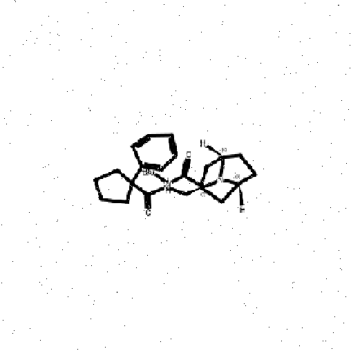 CC(C)(C)NC(=O)CN1[C@@H]2CC[C@H]1C[C@H](CNC(=O)C1(c3ccccc3)CCCC1)C2